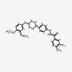 COc1ccc(CN2CCC(c3ccc(CNC(=O)c4ccc(C)c(F)c4)cc3)CC2)cc1OC